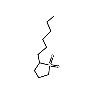 CCCCCCC1CCCS1(=O)=O